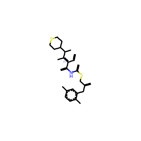 C=C/C(C(=C)NC(=C)SCC(=C)Cc1cc(C)ccc1C)=C(/C)C(C)C1CCSCC1